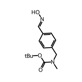 CN(Cc1ccc(C=NO)cc1)C(=O)OC(C)(C)C